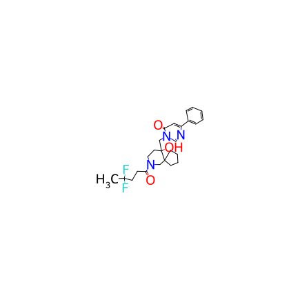 CC(F)(F)CCC(=O)N1CCC(O)(Cn2cnc(-c3ccccc3)cc2=O)C2(CCCC2)C1